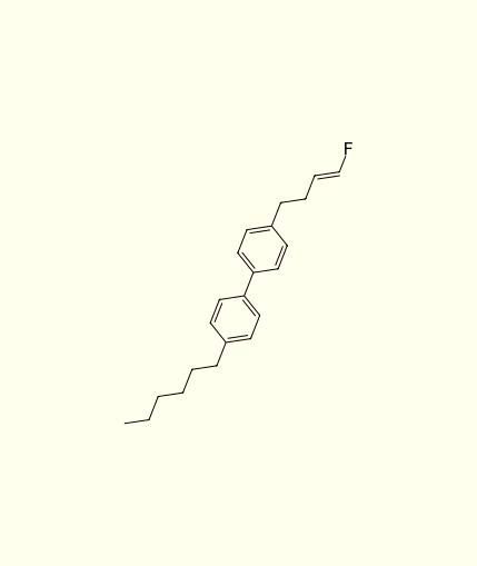 CCCCCCc1ccc(-c2ccc(CC/C=C/F)cc2)cc1